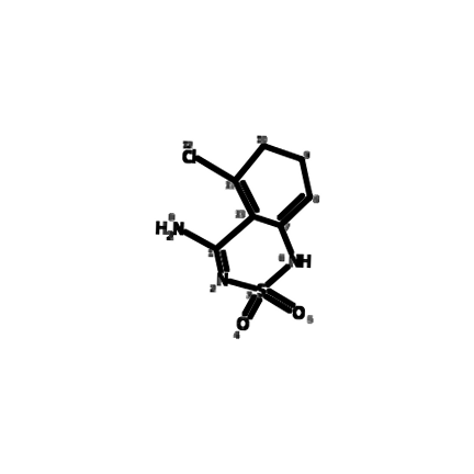 NC1=NS(=O)(=O)NC2=CCCC(Cl)=C21